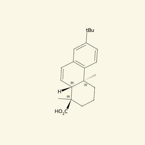 CC(C)(C)c1ccc2c(c1)C=C[C@H]1[C@](C)(C(=O)O)CCC[C@]21C